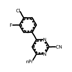 CCCc1cc(-c2ccc(Cl)c(F)c2)nc(C#N)n1